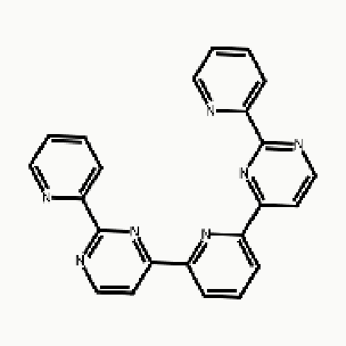 c1ccc(-c2nccc(-c3cccc(-c4ccnc(-c5ccccn5)n4)n3)n2)nc1